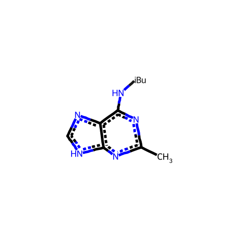 CCC(C)Nc1nc(C)nc2[nH]cnc12